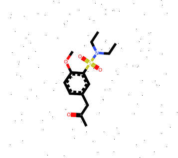 CCN(CC)S(=O)(=O)c1cc(CC(C)=O)ccc1OC